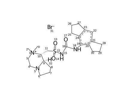 C[N+]1(C)CCN2CCC[C@@H]2[C@H]1CS(=O)(=O)NC(=O)Nc1c2c(cc3c1CCC3)CCC2.[Br-]